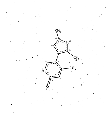 Cc1cc(=O)[nH]cc1-c1cn(C)nc1C(F)(F)F